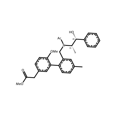 COC(=O)Cc1ccc(OC)c(-c2ccc(C)cc2CN(C(C)=O)[C@@H](C)[C@H](O)c2ccccc2)c1